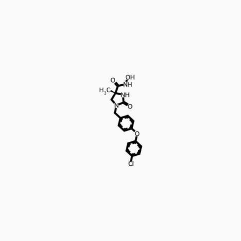 C[C@]1(C(=O)NO)CN(Cc2ccc(Oc3ccc(Cl)cc3)cc2)C(=O)N1